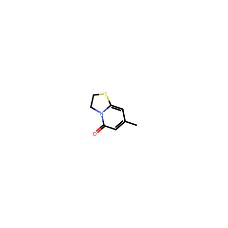 Cc1cc2n(c(=O)c1)CCS2